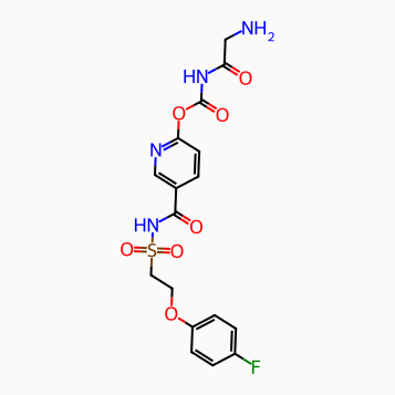 NCC(=O)NC(=O)Oc1ccc(C(=O)NS(=O)(=O)CCOc2ccc(F)cc2)cn1